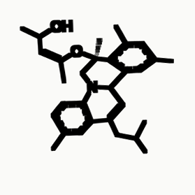 C/C(=C/C(C)O)O[C@]1(C)CN2c3ccc(C)cc3C(CC(C)C)=CC2c2cc(C)cc(C)c21